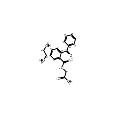 O=C(O)COC(=O)c1ccccc1C(=O)c1ccccc1.OCCO